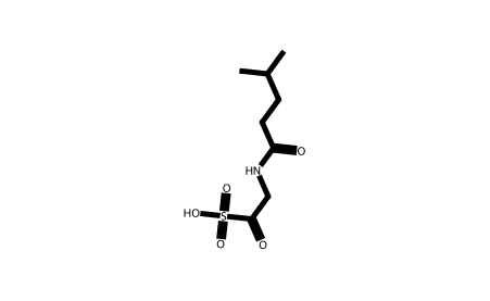 CC(C)CCC(=O)NCC(=O)S(=O)(=O)O